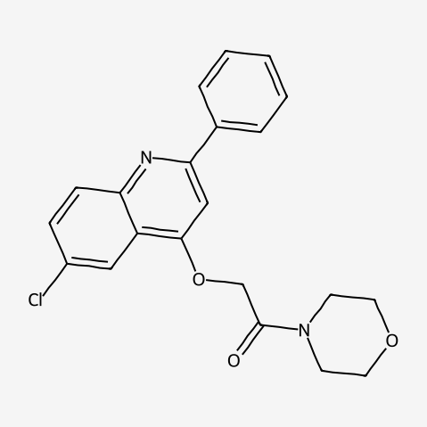 O=C(COc1cc(-c2ccccc2)nc2ccc(Cl)cc12)N1CCOCC1